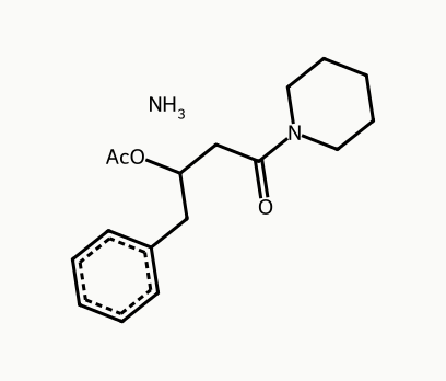 CC(=O)OC(CC(=O)N1CCCCC1)Cc1ccccc1.N